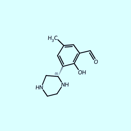 Cc1cc(C=O)c(O)c([C@H]2CNCCN2)c1